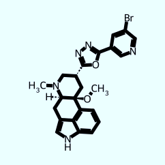 CO[C@]12C[C@@H](c3nnc(-c4cncc(Br)c4)o3)CN(C)[C@@H]1Cc1c[nH]c3cccc2c13